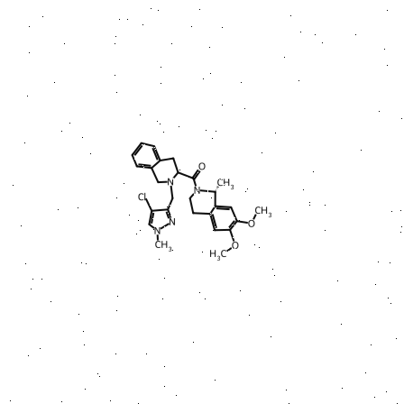 COc1cc2c(cc1OC)[C@@H](C)N(C(=O)C1Cc3ccccc3CN1Cc1nn(C)cc1Cl)CC2